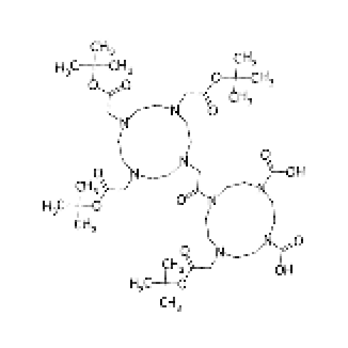 CC(C)(C)OC(=O)CN1CCN(CC(=O)OC(C)(C)C)CCN(CC(=O)N2CCN(CC(=O)OC(C)(C)C)CCN(C(=O)O)CCN(C(=O)O)CC2)CCN(CC(=O)OC(C)(C)C)CC1